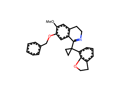 COc1cc2c(cc1OCc1ccccc1)C(C1(c3cccc4c3OCC4)CC1)=NCC2